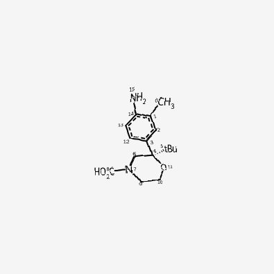 Cc1cc([C@]2(C(C)(C)C)CN(C(=O)O)CCO2)ccc1N